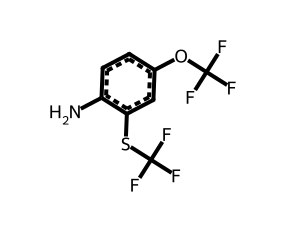 Nc1ccc(OC(F)(F)F)cc1SC(F)(F)F